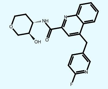 O=C(N[C@H]1CCOC[C@@H]1O)c1cc(Cc2ccc(F)nc2)c2ccccc2n1